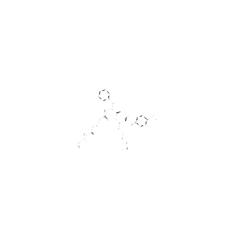 NCCCCC(NC(=O)C(Cc1ccccc1)NC(=O)COCC(=O)NCCO)C(=O)Nc1ccc(CO)cc1